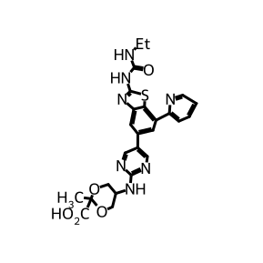 CCNC(=O)Nc1nc2cc(-c3cnc(NC4COC(C)(C(=O)O)OC4)nc3)cc(-c3ccccn3)c2s1